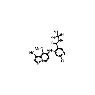 [2H]C([2H])([2H])NC(=O)c1cnc(Cl)cc1Nc1ccn2ncc(C#N)c2c1OC